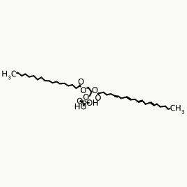 CCCCC/C=C/C/C=C/C/C=C/C/C=C/CCCC(=O)OC(COC(=O)CCCCCCCCCCCCCCCCC)COP(=O)(O)O